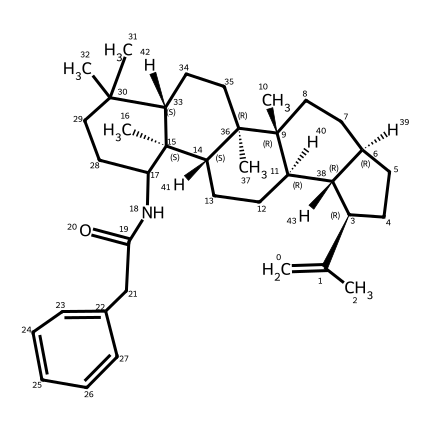 C=C(C)[C@@H]1CC[C@@H]2CC[C@]3(C)[C@H](CC[C@@H]4[C@@]5(C)C(NC(=O)Cc6ccccc6)CCC(C)(C)[C@@H]5CC[C@]43C)[C@H]21